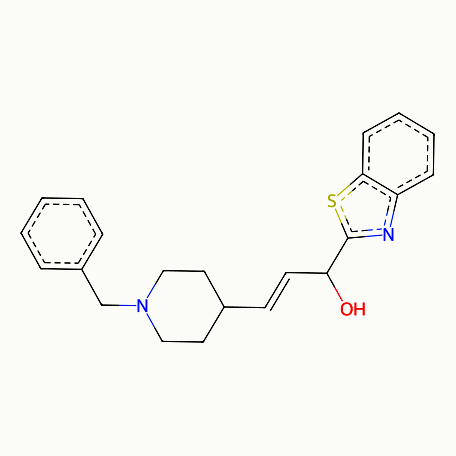 OC(C=CC1CCN(Cc2ccccc2)CC1)c1nc2ccccc2s1